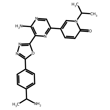 CC(N)c1ccc(-c2nnc(-c3nc(-c4ccc(=O)n(C(C)C)c4)cnc3N)o2)cc1